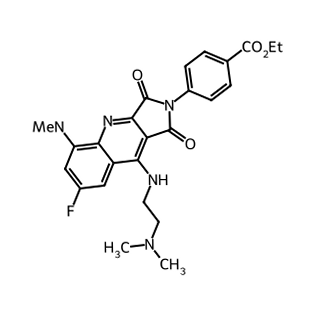 CCOC(=O)c1ccc(N2C(=O)c3nc4c(NC)cc(F)cc4c(NCCN(C)C)c3C2=O)cc1